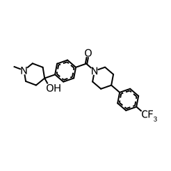 CN1CCC(O)(c2ccc(C(=O)N3CCC(c4ccc(C(F)(F)F)cc4)CC3)cc2)CC1